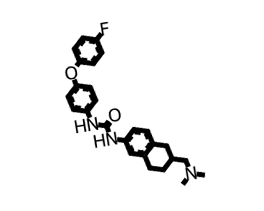 CN(C)CC1CCc2cc(NC(=O)Nc3ccc(Oc4ccc(F)cc4)cc3)ccc2C1